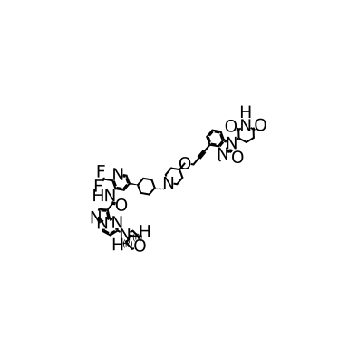 Cn1c(=O)n(C2CCC(=O)NC2=O)c2cccc(C#CCOC3CCN(C[C@H]4CC[C@H](c5cnc(C(F)F)c(NC(=O)c6cnn7ccc(N8C[C@H]9C[C@@H]8CO9)nc67)c5)CC4)CC3)c21